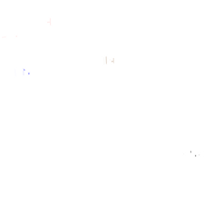 Br.CCCCCCCCCCCCCCCCCCCC(N)C(O)O